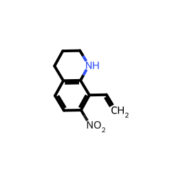 C=Cc1c([N+](=O)[O-])ccc2c1NCCC2